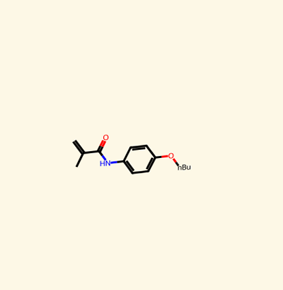 C=C(C)C(=O)Nc1ccc(OCCCC)cc1